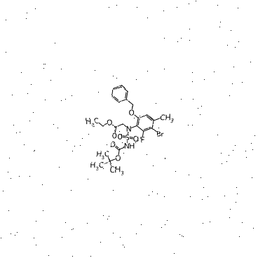 CCOC(=O)CN(c1c(OCc2ccccc2)cc(C)c(Br)c1F)S(=O)(=O)NC(=O)OC(C)(C)C